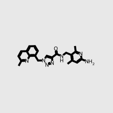 Cc1ccc2cccc(Cn3cc(C(=O)NCc4c(C)cc(N)nc4C)nn3)c2n1